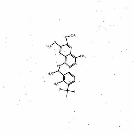 COc1cc2c(C)nnc(NC(C)c3cccc(C(F)(F)F)c3C)c2cc1OC